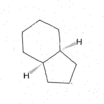 [CH]1C[C@@H]2CCCC[C@@H]2C1